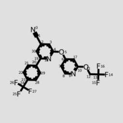 N#Cc1cc(Oc2ccnc(OCC(F)(F)F)c2)nc(-c2ccc(C(F)(F)F)cc2)c1